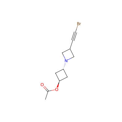 CC(=O)O[C@H]1C[C@H](N2CC(C#CBr)C2)C1